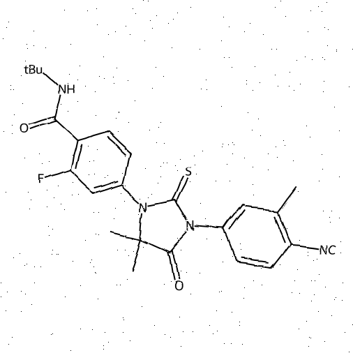 [C-]#[N+]c1ccc(N2C(=O)C(C)(C)N(c3ccc(C(=O)NC(C)(C)C)c(F)c3)C2=S)cc1C